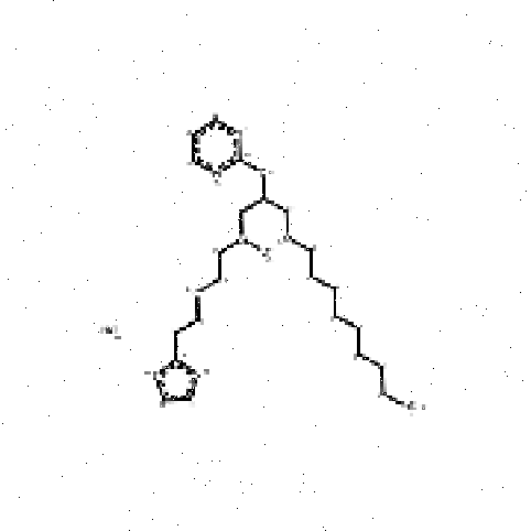 CCCCCCCCCCCCCCCCCCOCC(C[S+]([O-])CCOCCc1nccs1)Oc1ncccn1.Cl